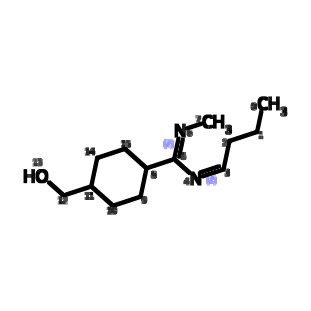 CCC/C=N\C(=N/C)C1CCC(CO)CC1